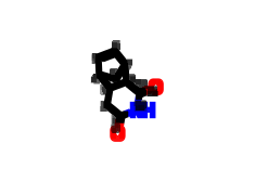 O=C1CC2C3C=CC(C3)C2C(=O)N1